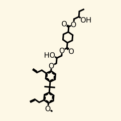 C=CCc1cc(C(C)(C)c2ccc(OCC(O)COC(=O)C3CCC(C(=O)OCC(O)CC)CC3)c(CC=C)c2)ccc1OC